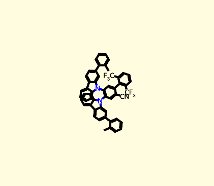 Cc1ccccc1-c1ccc2c3ccccc3n(-c3cc(C#N)c(-c4c(C(F)(F)F)cccc4C(F)(F)F)cc3-n3c4ccccc4c4ccc(-c5ccccc5C)cc43)c2c1